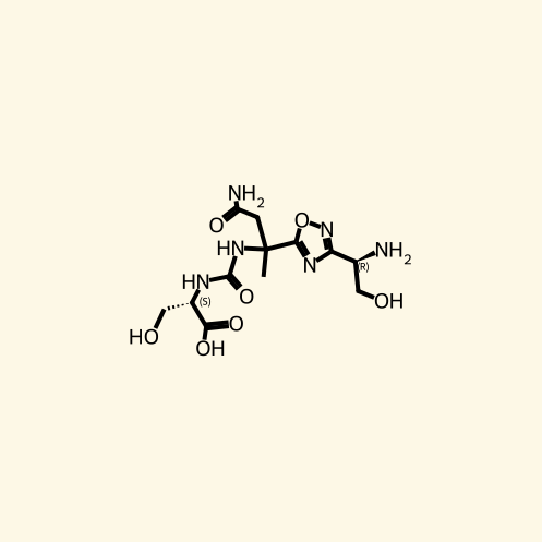 CC(CC(N)=O)(NC(=O)N[C@@H](CO)C(=O)O)c1nc([C@@H](N)CO)no1